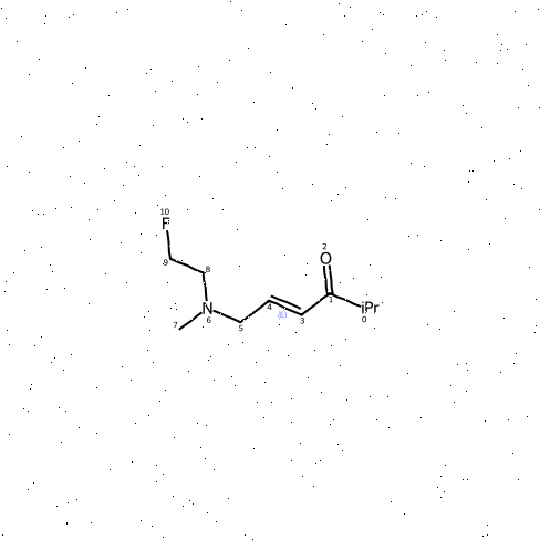 CC(C)C(=O)/C=C/CN(C)CCF